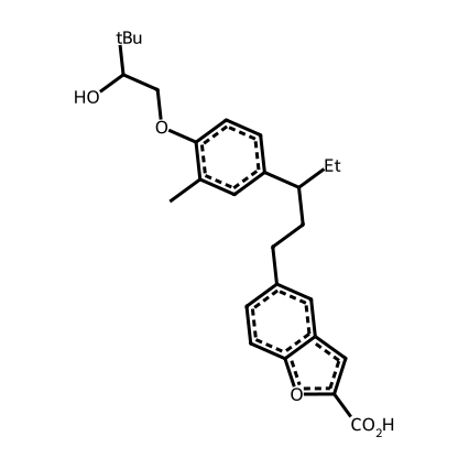 CCC(CCc1ccc2oc(C(=O)O)cc2c1)c1ccc(OCC(O)C(C)(C)C)c(C)c1